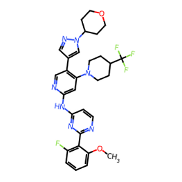 COc1cccc(F)c1-c1nccc(Nc2cc(N3CCC(C(F)(F)F)CC3)c(-c3cnn(C4CCOCC4)c3)cn2)n1